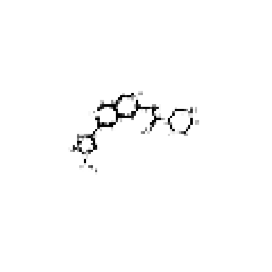 Cn1cc(-c2cc3cc(NC(=O)[C@@H]4CCCNC4)ncc3cn2)nn1